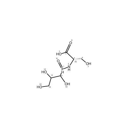 O=C(O)[C@H](CO)N[PH](=O)C(O)C(O)CO